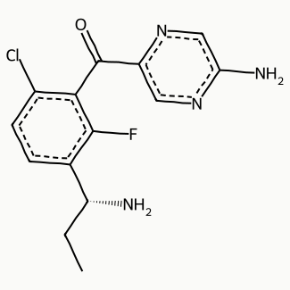 CC[C@@H](N)c1ccc(Cl)c(C(=O)c2cnc(N)cn2)c1F